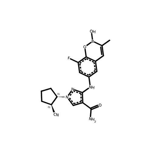 CC1=Cc2cc(Nc3nn([C@H]4CCC[C@@H]4C#N)cc3C(N)=O)cc(F)c2OB1O